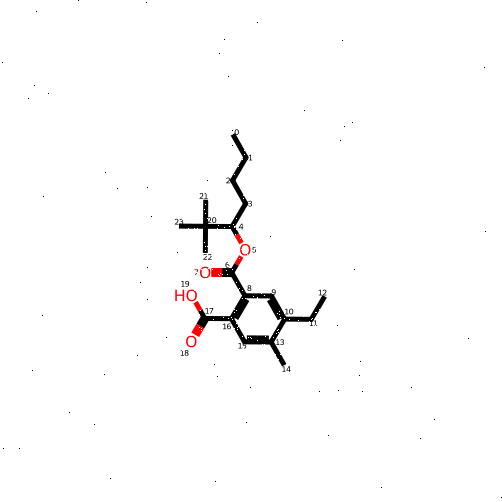 CCCCC(OC(=O)c1cc(CC)c(C)cc1C(=O)O)C(C)(C)C